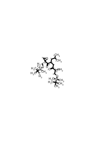 CC(C)CC(CC(=O)[C@@H](N)CO[Si](C)(C)C(C)(C)C)C(=O)[C@@]1(CO[Si](C)(C)C(C)(C)C)CO1